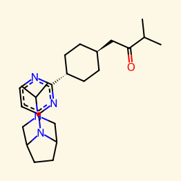 CC(C)C(=O)C[C@H]1CC[C@H](c2nccc(N3C4CCC3CN(C(C)C)C4)n2)CC1